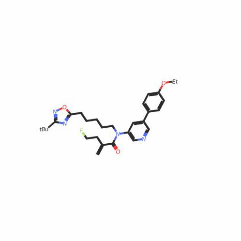 C=C(CCF)C(=O)N(CCCCCc1nc(C(C)(C)C)no1)c1cncc(-c2ccc(OCC)cc2)c1